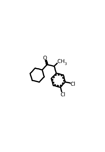 CC(C(=O)C1CCCCC1)c1ccc(Cl)c(Cl)c1